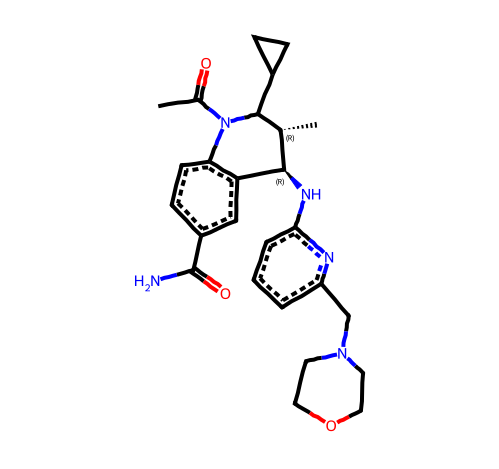 CC(=O)N1c2ccc(C(N)=O)cc2[C@H](Nc2cccc(CN3CCOCC3)n2)[C@@H](C)C1C1CC1